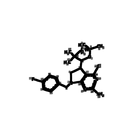 C[SiH](C)OC(C1CN(Cc2ccc(F)cc2)c2nc(N)nc(Cl)c21)C(C)(C)C